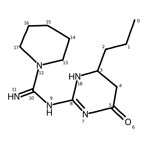 CCCC1CC(=O)N=C(NC(=N)N2CCCCC2)N1